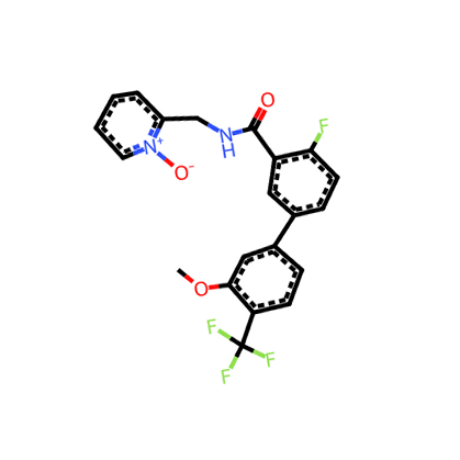 COc1cc(-c2ccc(F)c(C(=O)NCc3cccc[n+]3[O-])c2)ccc1C(F)(F)F